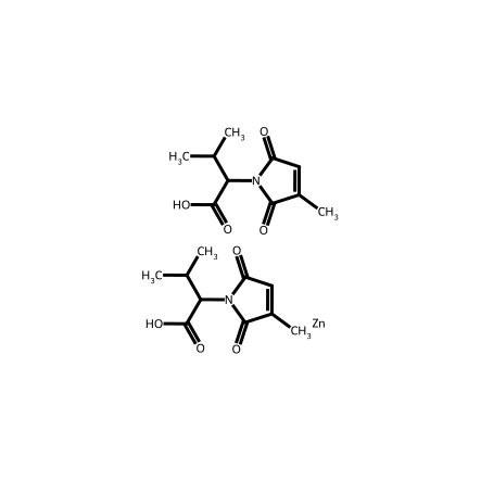 CC1=CC(=O)N(C(C(=O)O)C(C)C)C1=O.CC1=CC(=O)N(C(C(=O)O)C(C)C)C1=O.[Zn]